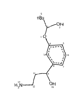 CCCCC(O)Oc1cccc(C(O)CCN)c1